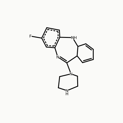 Fc1ccc2c(c1)N=C(N1CCNCC1)C1C=CC=CC1N2